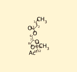 CC=CC(=O)OCC1COC(C)(CC(C)=O)O1